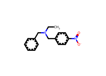 CCN(Cc1ccccc1)Cc1ccc([N+](=O)[O-])cc1